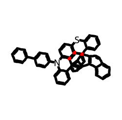 c1ccc(-c2ccc(N(c3ccc4c(c3)C3(c5ccccc5S4)c4ccccc4-c4c3ccc3ccccc43)c3ccccc3-c3ccccc3)cc2)cc1